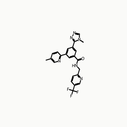 Cc1ccc(-c2cc(C(=O)NCc3ccc(C(F)(F)F)cn3)cc(-c3nncn3C)c2)nc1